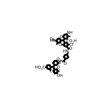 CCNc1cc2oc3cc(=N)c(C)cc-3c(-c3c(Cl)cc(C(=O)NCc4ccc(C(=O)NCc5c6oc7cc(O)ccc7c(-c7ccc(C(=O)O)cc7C(=O)O)c-6ccc5=O)cc4)c(Cl)c3C(=O)O)c2cc1C